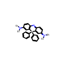 CCN(CC)c1ccc2c(c1)[Si](c1ccccc1)(c1ccccc1)C1=CC(=[N+](CC)CC)C=CC1=N2